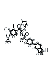 O=C(N[C@H](CN1CCCC1)[C@H](O)c1ccc(OC2CC2)c(Cl)c1)C(=O)c1ccc(-c2ccc3[nH]ncc3c2)cc1